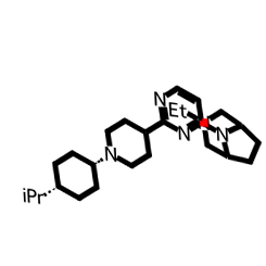 CCN1CC2CCC(C1)N2c1ccnc(C2CCN([C@H]3CC[C@@H](C(C)C)CC3)CC2)n1